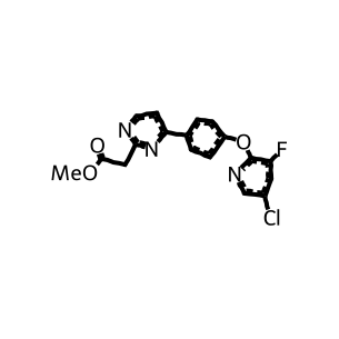 COC(=O)Cc1nccc(-c2ccc(Oc3ncc(Cl)cc3F)cc2)n1